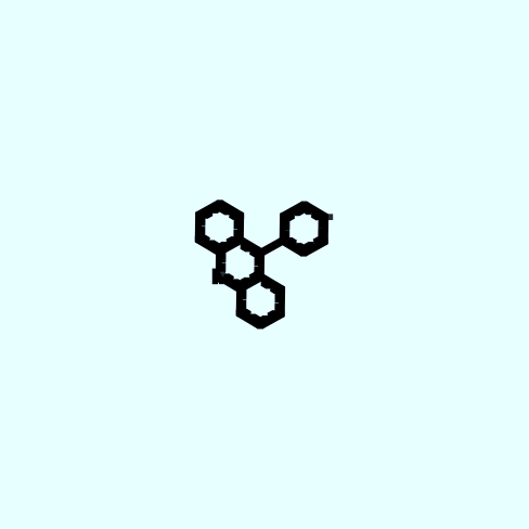 [c]1ccc(-c2c3ccccc3nc3ccccc23)cc1